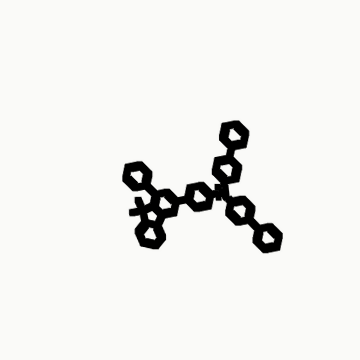 CC1(C)c2ccccc2-c2cc(-c3ccc(N(c4ccc(-c5ccccc5)cc4)c4ccc(-c5ccccc5)cc4)cc3)cc(-c3ccccc3)c21